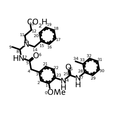 COc1cc(CC(=O)NC(C)N(CCC(=O)O)Cc2ccccc2)ccc1NC(=O)Nc1ccccc1C